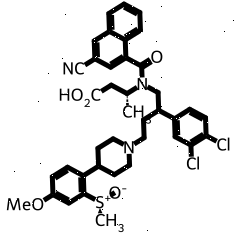 COc1ccc(C2CCN(CCC(CN(C(=O)c3cc(C#N)cc4ccccc34)[C@H](C)CC(=O)O)c3ccc(Cl)c(Cl)c3)CC2)c([S@+](C)[O-])c1